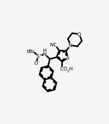 CC(C)(C)[S+]([O-])NC(c1ccc2ccccc2c1)c1c(C(=O)O)sc(N2CCOCC2)c1C#N